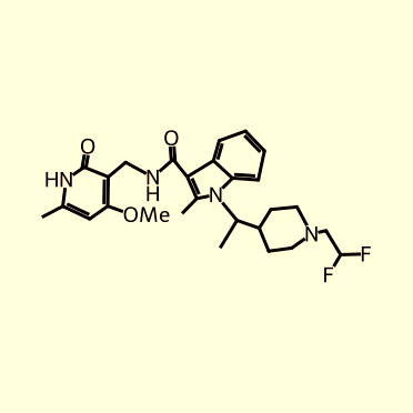 COc1cc(C)[nH]c(=O)c1CNC(=O)c1c(C)n(C(C)C2CCN(CC(F)F)CC2)c2ccccc12